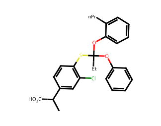 CCCc1ccccc1OC(CC)(Oc1ccccc1)Sc1ccc(C(C)C(=O)O)cc1Cl